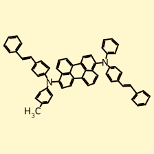 Cc1ccc(N(c2ccc(/C=C/c3ccccc3)cc2)c2ccc3c4cccc5c(N(c6ccccc6)c6ccc(/C=C/c7ccccc7)cc6)ccc(c6cccc2c63)c54)cc1